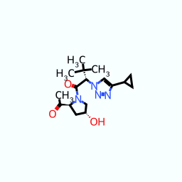 CC(=O)[C@@H]1C[C@@H](O)CN1C(=O)[C@@H](n1cc(C2CC2)nn1)C(C)(C)C